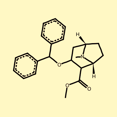 COC(=O)C1C(OC(c2ccccc2)c2ccccc2)C[C@@H]2CC[C@H]1N2C